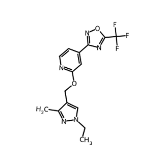 CCn1cc(COc2cc(-c3noc(C(F)(F)F)n3)ccn2)c(C)n1